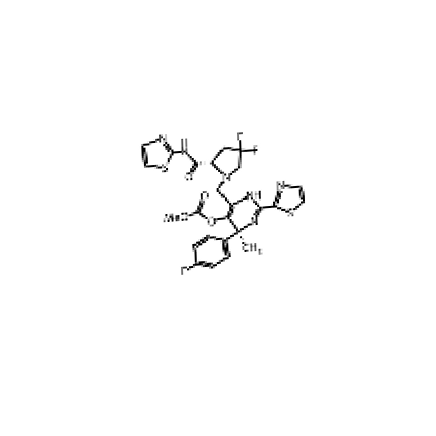 COC(=O)OC1=C(CN2CC(F)(F)C[C@H]2C(=O)Nc2nccs2)NC(c2nccs2)=N[C@@]1(C)c1ccc(F)cc1